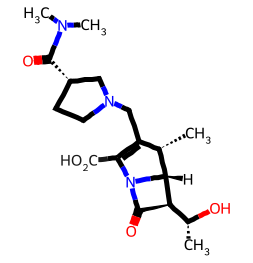 C[C@@H](O)[C@H]1C(=O)N2C(C(=O)O)=C(CN3CC[C@H](C(=O)N(C)C)C3)[C@H](C)[C@H]12